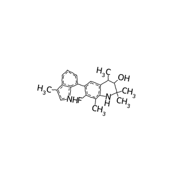 Cc1c(F)c(-c2cccc3c(C)c[nH]c23)cc2c1NC(C)(C)C(O)C2C